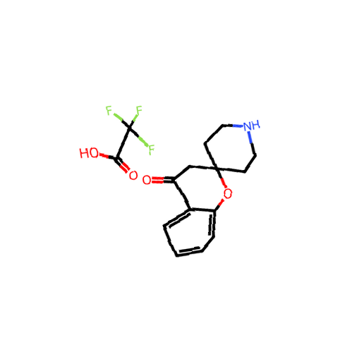 O=C(O)C(F)(F)F.O=C1CC2(CCNCC2)Oc2ccccc21